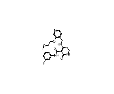 COCCOc1cnccc1CNC1=C(C(=S)Nc2cccc(F)c2)C(=O)NCC1